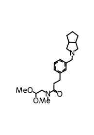 COC(CN(C)C(=O)CCc1cccc(CN2CC3CCCC3C2)c1)OC